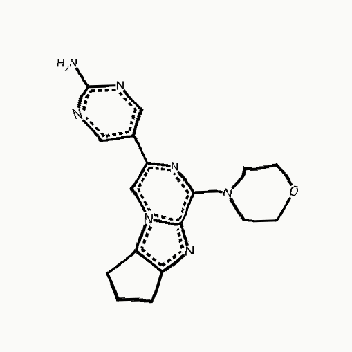 Nc1ncc(-c2cn3c4c(nc3c(N3CCOCC3)n2)CCC4)cn1